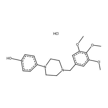 COc1cc(CN2CCN(c3ccc(O)cc3)CC2)cc(OC)c1OC.Cl